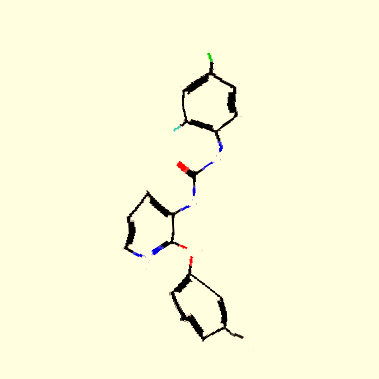 O=C(Nc1ccc(Cl)cc1F)Nc1cccnc1Oc1cccc(C(F)(F)F)c1